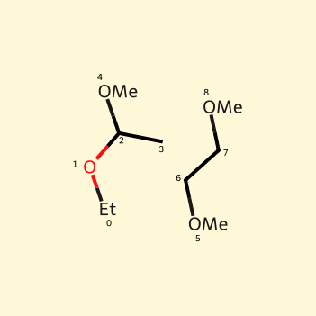 CCOC(C)OC.COCCOC